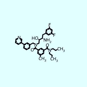 CCCN(CCC)C(=O)c1cc(C)cc(C(=O)N(Cc2cccc(-c3cccnc3)c2)C[C@@H](O)[C@@H](N)Cc2cc(F)cc(F)c2)c1